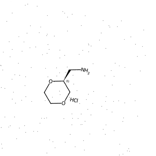 Cl.NC[C@H]1COCCO1